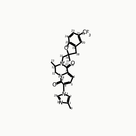 Cc1cn(-c2ccc3n(c2=O)CC(C)N(CC2(C)Cc4cc(C(F)(F)F)ccc4O2)C3=O)cn1